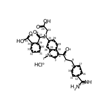 Cl.Cn1cc(C(=O)CCc2ccc(C(=N)N)cc2)c2ccc(N(CC(=O)O)C(=O)c3ccccc3C(=O)O)cc21